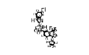 O=C(N[C@@H](CO)c1nc2cc(Cl)ccc2[nH]1)c1ccc(C(=O)N2CC=CC2)c(C(F)(F)F)c1